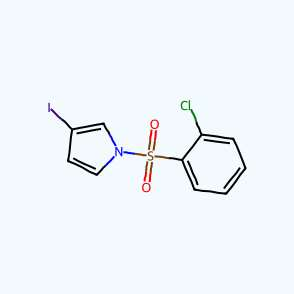 O=S(=O)(c1ccccc1Cl)n1ccc(I)c1